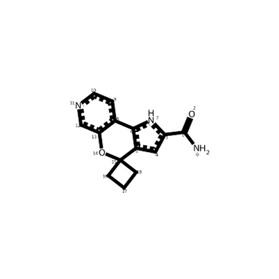 NC(=O)c1cc2c([nH]1)-c1ccncc1OC21CCC1